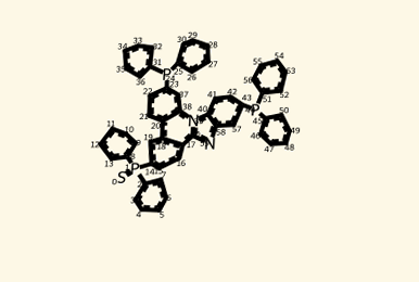 S=P(c1ccccc1)(c1ccccc1)c1ccc2c(c1)c1ccc(P(c3ccccc3)c3ccccc3)cc1n1c3ccc(P(c4ccccc4)c4ccccc4)cc3nc21